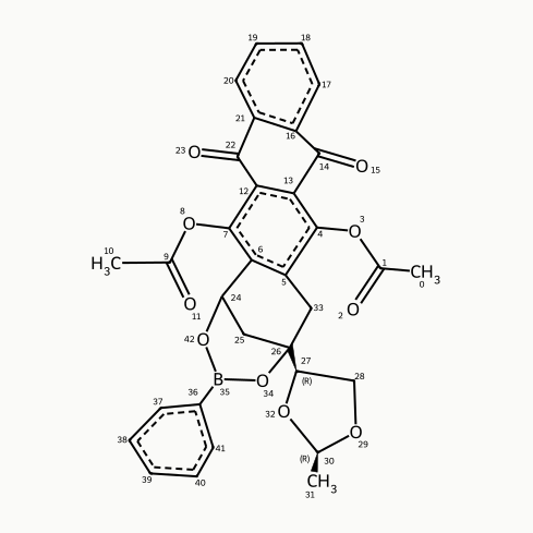 CC(=O)Oc1c2c(c(OC(C)=O)c3c1C(=O)c1ccccc1C3=O)C1CC([C@H]3CO[C@@H](C)O3)(C2)OB(c2ccccc2)O1